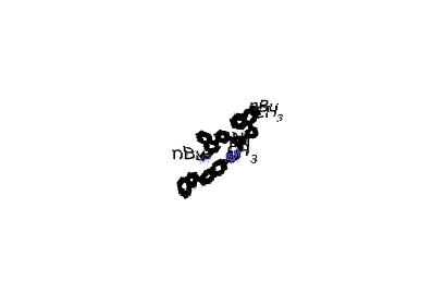 C\C=C(/C=C\C=C\c1nc(-c2cccc(C3=CC(C)=C(CCCC)Cc4ccccc43)c2)nc(-c2cccc(C3=c4ccccc4=CC(/C=C\CCCC)=CC3)c2)n1)C1=CCc2ccc(-c3ccc4c(c3)CC=CC=C4)cc2C=C1